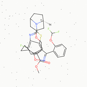 COC(=O)c1cc(F)c2nc(N3C4CC[C@H]3CC(OCc3c(-c5ccccc5OC(F)F)noc3C3CC3)C4)sc2c1